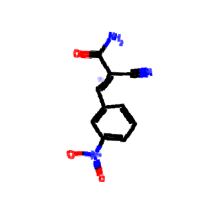 N#C/C(=C\c1cccc([N+](=O)[O-])c1)C(N)=O